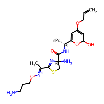 C=CCOC1=CC(O)OC([C@@H](CCC)NC(=O)[C@]2(N)CSC(/C(C)=N/OCCCN)=N2)=C1